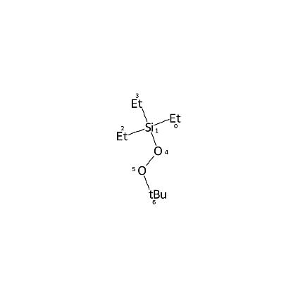 CC[Si](CC)(CC)OOC(C)(C)C